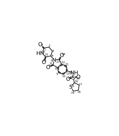 O=C1CCC(N2C(=O)c3ccc(NS(=O)(=O)C4CCCS4)cc3C2=O)C(=O)N1